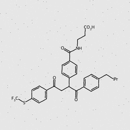 CC(C)Cc1ccc(C(=O)C(CC(=O)c2ccc(SC(F)(F)F)cc2)c2ccc(C(=O)NCCC(=O)O)cc2)cc1